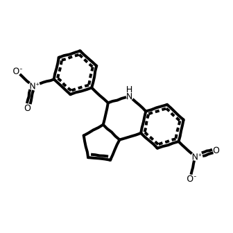 O=[N+]([O-])c1cccc(C2Nc3ccc([N+](=O)[O-])cc3C3C=CCC32)c1